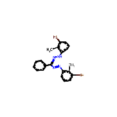 Cc1c(S)cccc1N=NC(=NNc1cccc(S)c1C)c1ccccc1